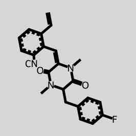 C=Cc1cccc(C#N)c1C=C1C(=O)N(C)C(Cc2ccc(F)cc2)C(=O)N1C